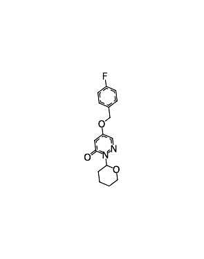 O=c1cc(OCc2ccc(F)cc2)cnn1C1CCCCO1